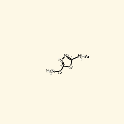 CC(=O)Nc1nnc(SN)s1